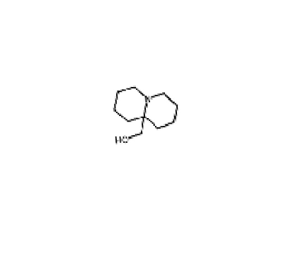 OCC12CCCCN1CCCC2